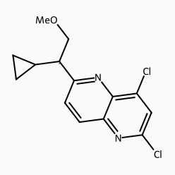 COC[C](c1ccc2nc(Cl)cc(Cl)c2n1)C1CC1